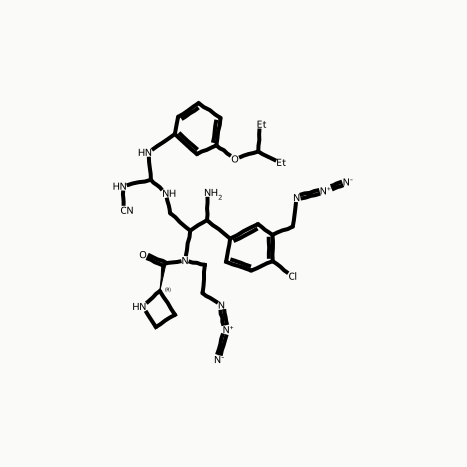 CCC(CC)Oc1cccc(NC(NC#N)NCC(C(N)c2ccc(Cl)c(CN=[N+]=[N-])c2)N(CCN=[N+]=[N-])C(=O)[C@H]2CCN2)c1